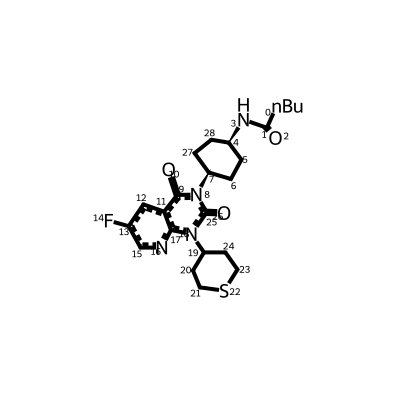 CCCCC(=O)N[C@H]1CC[C@@H](n2c(=O)c3cc(F)cnc3n(C3CCSCC3)c2=O)CC1